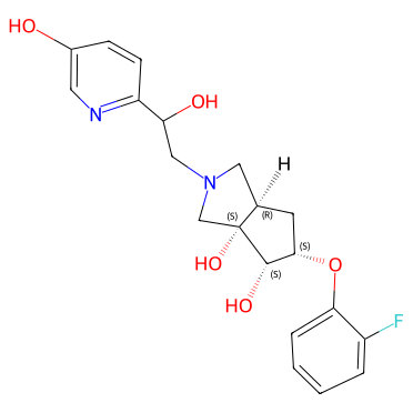 Oc1ccc(C(O)CN2C[C@H]3C[C@H](Oc4ccccc4F)[C@H](O)[C@@]3(O)C2)nc1